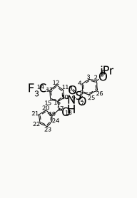 CC(C)Oc1ccc(S(=O)(=O)Nc2ccc(C(F)(F)F)cc2C(=O)c2ccccc2)cc1